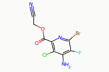 N#CCOC(=O)c1nc(Br)c(F)c(N)c1Cl